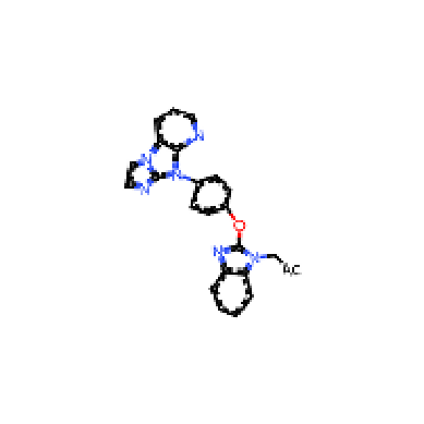 CC(=O)Cn1c(Oc2ccc(-n3c4ncccc4n4ccnc34)cc2)nc2ccccc21